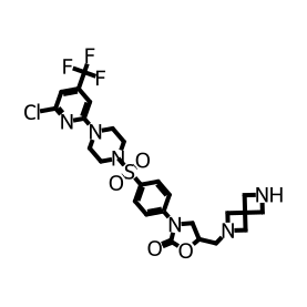 O=C1OC(CN2CC3(CNC3)C2)CN1c1ccc(S(=O)(=O)N2CCN(c3cc(C(F)(F)F)cc(Cl)n3)CC2)cc1